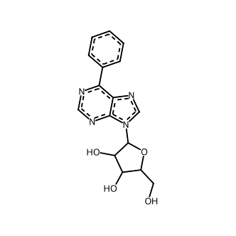 OCC1OC(n2cnc3c(-c4ccccc4)ncnc32)C(O)C1O